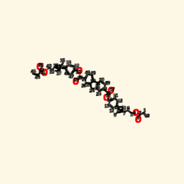 C=CC(=O)OCCC[Si](C)(C)c1ccc(OC(=O)c2ccc3c(c2)Cc2cc(C(=O)Oc4ccc([Si](C)(C)CCCOC(=O)C=C)cc4)ccc2-3)cc1